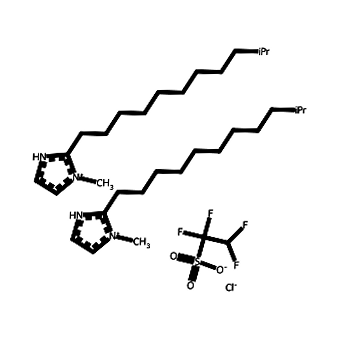 CC(C)CCCCCCCCCc1[nH]cc[n+]1C.CC(C)CCCCCCCCCc1[nH]cc[n+]1C.O=S(=O)([O-])C(F)(F)C(F)F.[Cl-]